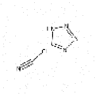 N#CCl.c1nnn[nH]1